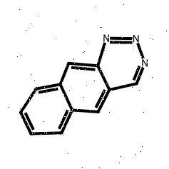 c1ccc2cc3nnncc3cc2c1